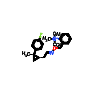 CO[N+](C)(C(=O)[O-])c1ccccc1CON=CC[C@@H]1C[C@@]1(C)c1ccc(F)cc1